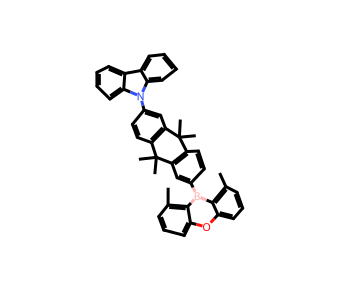 Cc1cccc2c1B(c1ccc3c(c1)C(C)(C)c1ccc(-n4c5ccccc5c5ccccc54)cc1C3(C)C)c1c(C)cccc1O2